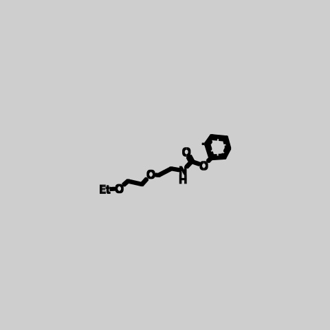 CCOCCOCCNC(=O)Oc1[c]cccc1